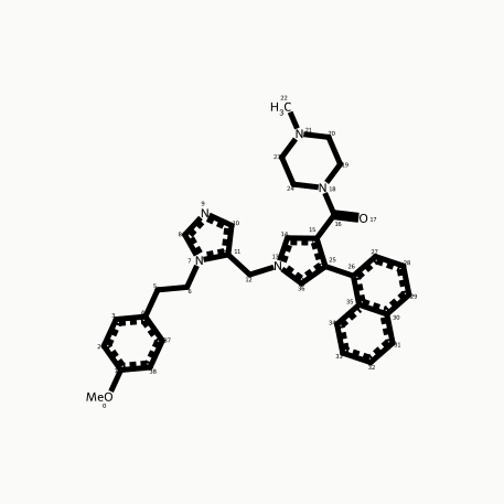 COc1ccc(CCn2cncc2Cn2cc(C(=O)N3CCN(C)CC3)c(-c3cccc4ccccc34)c2)cc1